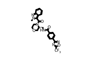 Cn1nc2ccccc2c1C(=O)N1CCOC[C@H]1CNC(=O)c1ccc(-c2noc(C(F)(F)F)n2)cc1